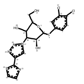 OCC1OC(Sc2ccc(Cl)c(Cl)c2)[C@@H](O)C(n2cc(-c3nccs3)nn2)C1O